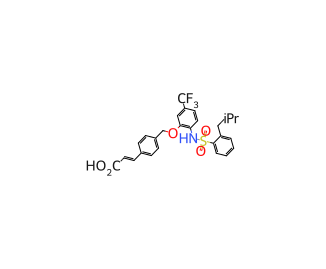 CC(C)Cc1ccccc1S(=O)(=O)Nc1ccc(C(F)(F)F)cc1OCc1ccc(/C=C/C(=O)O)cc1